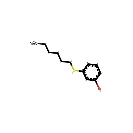 COCCCCCSc1cccc(Br)c1